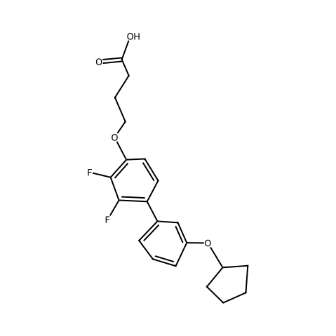 O=C(O)CCCOc1ccc(-c2cccc(OC3CCCC3)c2)c(F)c1F